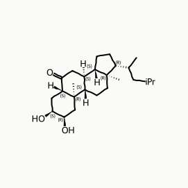 CC(C)CC(C)[C@H]1CC[C@H]2[C@@H]3CC(=O)[C@H]4C[C@H](O)[C@H](O)C[C@]4(C)[C@H]3CC[C@]12C